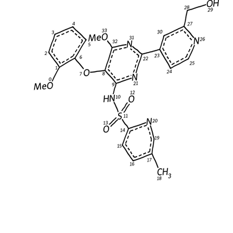 COc1ccccc1Oc1c(NS(=O)(=O)c2ccc(C)cn2)nc(-c2ccnc(CO)c2)nc1OC